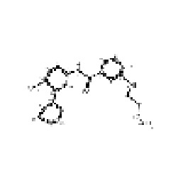 COCCNc1cc(C(=O)Nc2ccc(Cl)c(-c3ccccn3)c2)ccn1